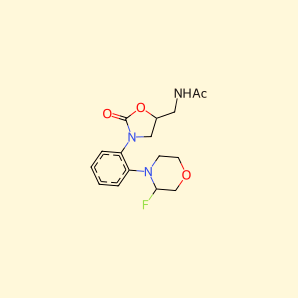 CC(=O)NCC1CN(c2ccccc2N2CCOCC2F)C(=O)O1